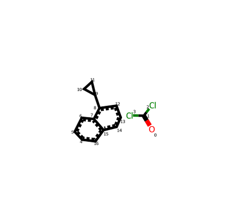 O=C(Cl)Cl.c1ccc2c(C3CC3)cccc2c1